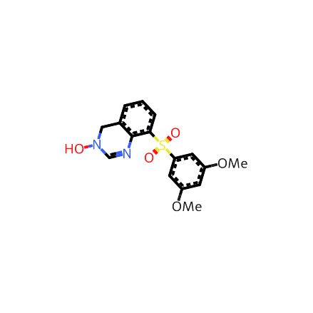 COc1cc(OC)cc(S(=O)(=O)c2cccc3c2N=CN(O)C3)c1